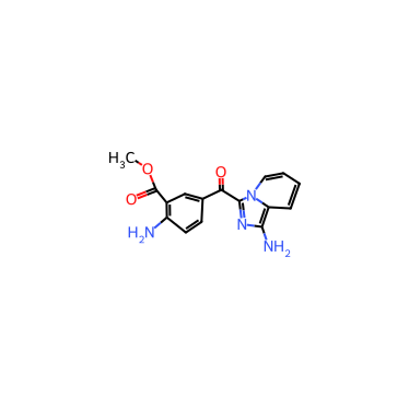 COC(=O)c1cc(C(=O)c2nc(N)c3ccccn23)ccc1N